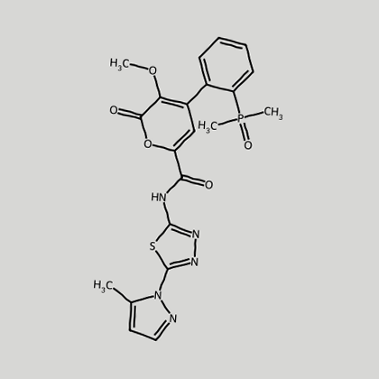 COc1c(-c2ccccc2P(C)(C)=O)cc(C(=O)Nc2nnc(-n3nccc3C)s2)oc1=O